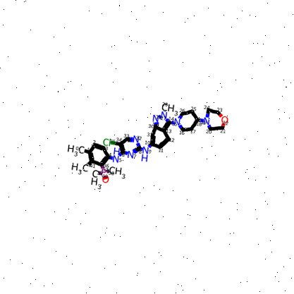 Cc1ccc(Nc2nc(Nc3ccc4c(N5CCC(N6CCOCC6)CC5)n(C)nc4c3)ncc2Cl)c(P(C)(C)=O)c1C